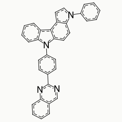 c1ccc(-n2ccc3c4c5ccccc5n(-c5ccc(-c6ncc7ccccc7n6)cc5)c4ccc32)cc1